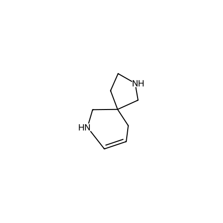 C1=CNCC2(C1)CCNC2